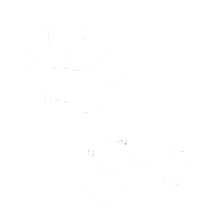 C1=CC2=C(CC1)c1ccccc1C21c2ccccc2Oc2cc(-c3nc(-c4ccccc4)c4ccccc4n3)ccc21